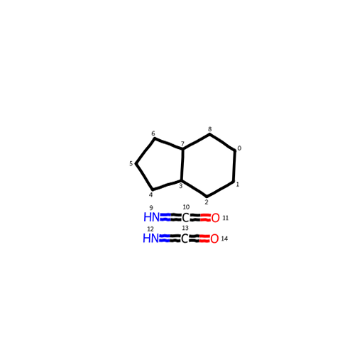 C1CCC2CCCC2C1.N=C=O.N=C=O